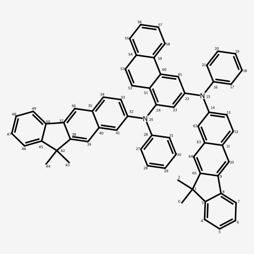 CC1(C)c2ccccc2-c2cc3ccc(N(c4ccccc4)c4cc(N(c5ccccc5)c5ccc6cc7c(cc6c5)C(C)(C)c5ccccc5-7)c5ccc6ccccc6c5c4)cc3cc21